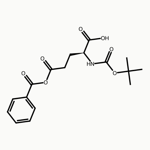 CC(C)(C)OC(=O)N[C@@H](CCC(=O)OC(=O)c1ccccc1)C(=O)O